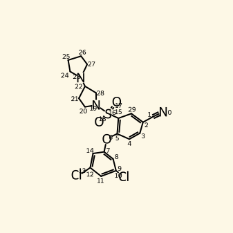 N#Cc1ccc(Oc2cc(Cl)cc(Cl)c2)c(S(=O)(=O)N2CCC(N3CCCC3)C2)c1